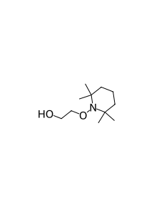 CC1(C)CCCC(C)(C)N1OCCO